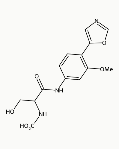 COc1cc(NC(=O)C(CO)NC(=O)O)ccc1-c1cnco1